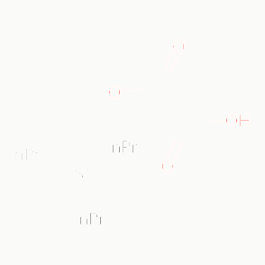 CCC[S+](CCC)CCC.O=C([O-])C(=O)O